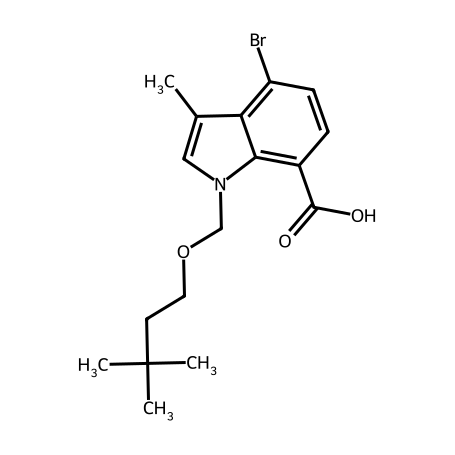 Cc1cn(COCCC(C)(C)C)c2c(C(=O)O)ccc(Br)c12